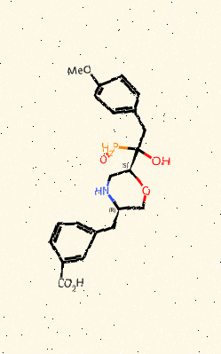 COc1ccc(CC(O)([PH2]=O)[C@@H]2CN[C@H](Cc3cccc(C(=O)O)c3)CO2)cc1